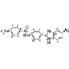 CC(=O)c1ccc2[nH]c(-c3ccc(NC(=O)c4ccc(N)cc4)cc3)nc2c1